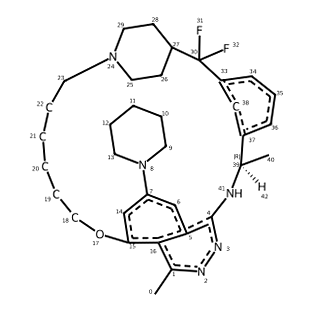 Cc1nnc2c3cc(N4CCCCC4)cc(c13)OCCCCCCN1CCC(CC1)C(F)(F)c1cccc(c1)[C@@H](C)N2